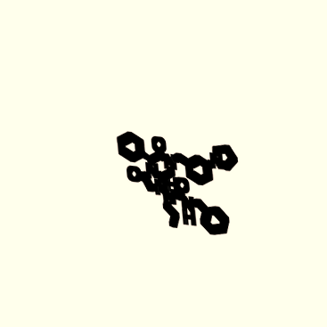 CCCN(C(=O)NCc1ccccc1)N1CC(=O)N2[C@@H](c3ccccc3)C(=O)N(Cc3cccc(N4CCCC4)c3)C[C@@H]21